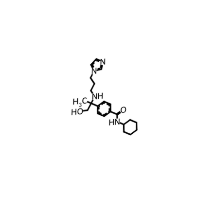 CC(CO)(NCCCn1ccnc1)c1ccc(C(=O)NC2CCCCC2)cc1